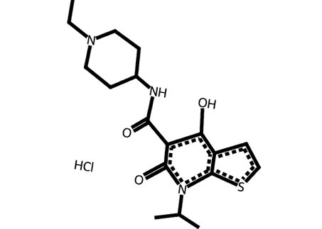 CCN1CCC(NC(=O)c2c(O)c3ccsc3n(C(C)C)c2=O)CC1.Cl